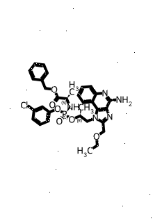 CCOCc1nc2c(N)nc3ccccc3c2n1C[C@@H](C)O[P@@](=O)(N[C@@H](C)C(=O)OCc1ccccc1)Oc1cccc(Cl)c1